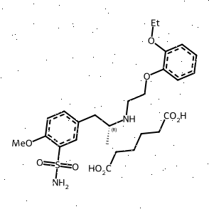 CCOc1ccccc1OCCN[C@H](C)Cc1ccc(OC)c(S(N)(=O)=O)c1.O=C(O)CCCCC(=O)O